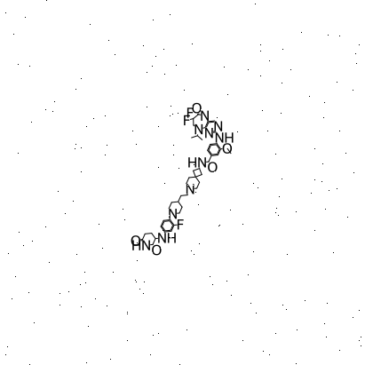 COc1cc(C(=O)NC2CC3(CCN(CCC4CCN(c5ccc(NC6CCC(=O)NC6=O)cc5F)CC4)CC3)C2)ccc1Nc1ncc2c(n1)N(C(C)C)CC(F)(F)C(=O)N2C